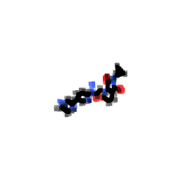 O=C1C2=C(C(=O)N1C1CC1)N(CC(O)Nc1ccc(-c3cnccn3)cn1)CCC2